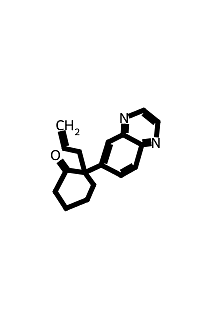 C=CCC1(c2ccc3nccnc3c2)CCCCC1=O